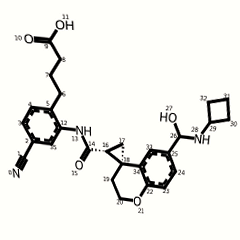 N#Cc1ccc(CCCC(=O)O)c(NC(=O)[C@@H]2C[C@]23CCOc2ccc(C(O)NC4CCC4)cc23)c1